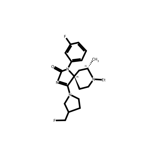 CCN1CC[C@@]2(C[C@@H]1C)C(N1CCC(CF)C1)=NC(=O)N2c1cccc(F)c1